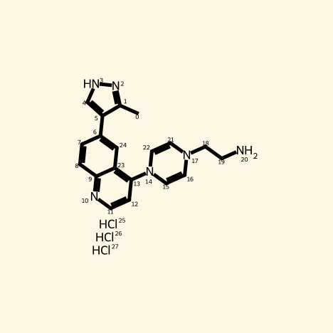 Cc1n[nH]cc1-c1ccc2nccc(N3C=CN(CCN)C=C3)c2c1.Cl.Cl.Cl